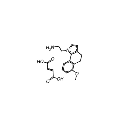 COc1cccc2c1CCc1ccn(CCN)c1-2.O=C(O)C=CC(=O)O